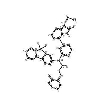 C=c1cccc/c1=C/CC(C)N(c1cccc(-c2cccc3c(/C=C\CC)c(C)sc23)c1)c1ccc2c(c1)C(C)(C)c1ccccc1-2